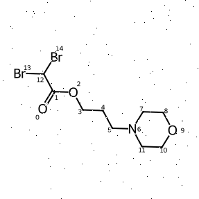 O=C(OCCCN1CCOCC1)C(Br)Br